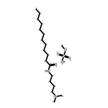 CCCCCCCCCCCC(=O)NCCCCN(C)C.COS(=O)(=O)O